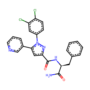 NC(=O)[C@H](Cc1ccccc1)NC(=O)c1cc(-c2cccnc2)n(-c2ccc(Cl)c(Cl)c2)n1